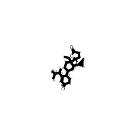 CCC1([C@@]2(C)CCC(=O)O2)CCC(C2CCC(=O)C=C2C(C)C(C)C)CC1C1CC1